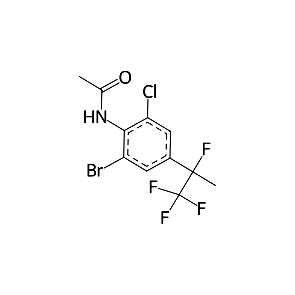 CC(=O)Nc1c(Cl)cc(C(C)(F)C(F)(F)F)cc1Br